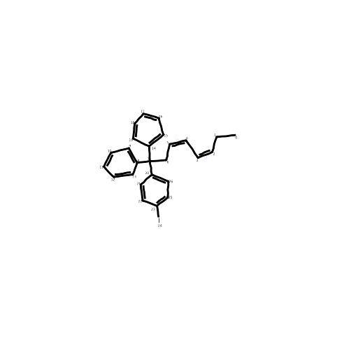 CC/C=C\C=C/CC(c1ccccc1)(c1ccccc1)c1ccc(I)cc1